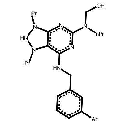 CCCN(CO)c1nc(NCc2cccc(C(C)=O)c2)c2c(n1)N(C(C)C)NN2C(C)C